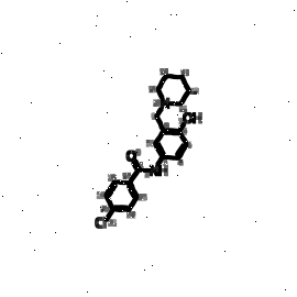 O=C(Nc1ccc(O)c(CN2CCCCC2)c1)c1ccc(Cl)cc1